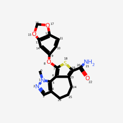 Cn1ncc2c1-c1c(Oc3ccc4c(c3)OCO4)sc(C(N)=O)c1CCC2